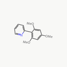 COc1cc(OC)c(-c2ccccn2)c(OC)c1